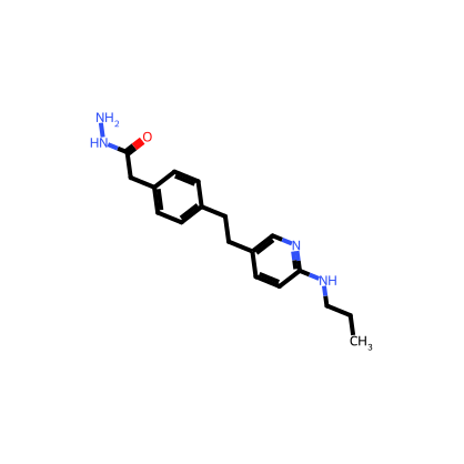 CCCNc1ccc(CCc2ccc(CC(=O)NN)cc2)cn1